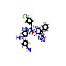 N#Cc1ccc(NC2CCC(N[C@H](Cc3ccc(Cl)cc3)C(=O)N3CCC(Cn4cncn4)(C4CCCCC4)CC3)CC2)cc1